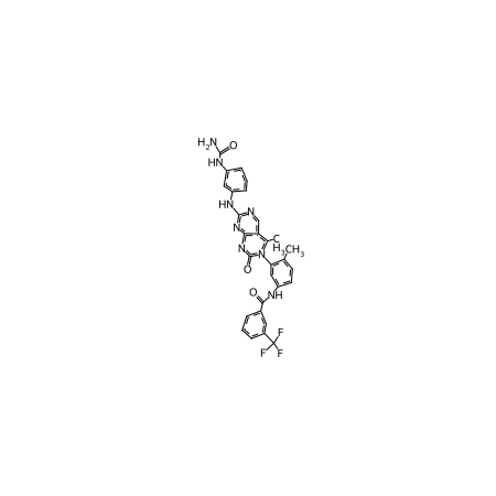 Cc1ccc(NC(=O)c2cccc(C(F)(F)F)c2)cc1-n1c(C)c2cnc(Nc3cccc(NC(N)=O)c3)nc2nc1=O